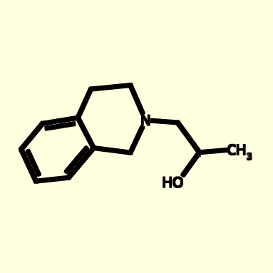 C[C](O)CN1CCc2ccccc2C1